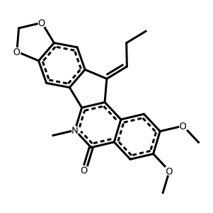 CC/C=C1\c2cc3c(cc2-c2c1c1cc(OC)c(OC)cc1c(=O)n2C)OCO3